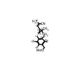 COCc1c(F)c(F)c(C[C@@H]2C(/C=C(/C)C#N)C2(C)C)c(F)c1F